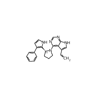 C=Cc1c[nH]c2ncnc(N3CCC[C@H]3c3[nH]ccc3-c3ccccc3)c12